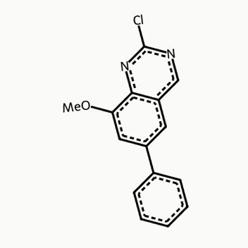 COc1cc(-c2ccccc2)cc2cnc(Cl)nc12